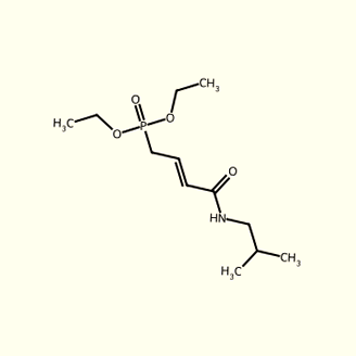 CCOP(=O)(C/C=C/C(=O)NCC(C)C)OCC